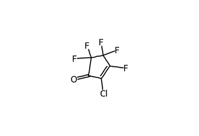 O=C1C(Cl)=C(F)C(F)(F)C1(F)F